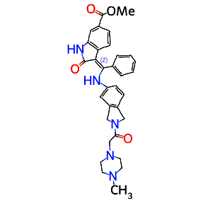 COC(=O)c1ccc2c(c1)NC(=O)/C2=C(\Nc1ccc2c(c1)CN(C(=O)CN1CCN(C)CC1)C2)c1ccccc1